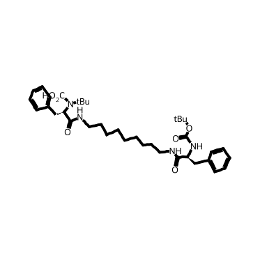 CC(C)(C)OC(=O)N[C@@H](Cc1ccccc1)C(=O)NCCCCCCCCCNC(=O)[C@H](Cc1ccccc1)N(C(=O)O)C(C)(C)C